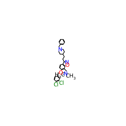 CN(C)Cc1c(OCc2ccc(Cl)c(Cl)c2)ccc2c(CCC3CCN(Cc4ccccc4)CC3)noc12